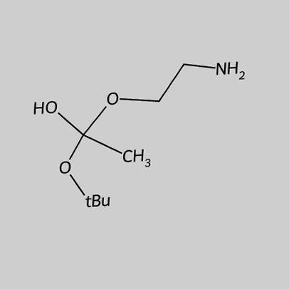 CC(C)(C)OC(C)(O)OCCN